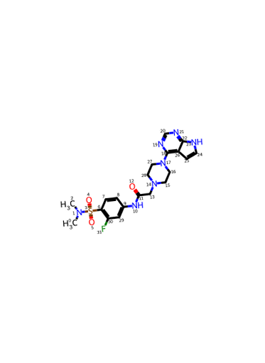 CN(C)S(=O)(=O)c1ccc(NC(=O)CN2CCN(c3ncnc4[nH]ccc34)CC2)cc1F